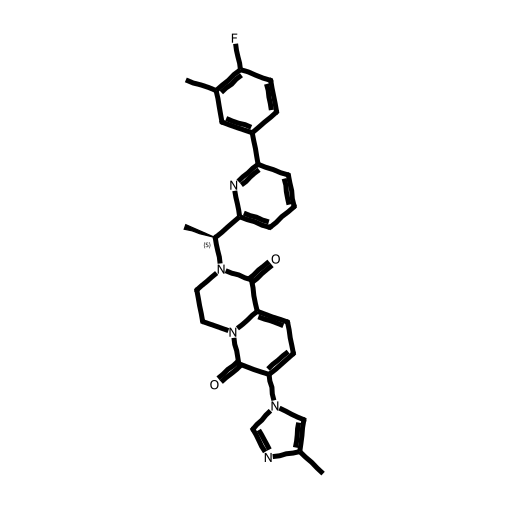 Cc1cn(-c2ccc3n(c2=O)CCN([C@@H](C)c2cccc(-c4ccc(F)c(C)c4)n2)C3=O)cn1